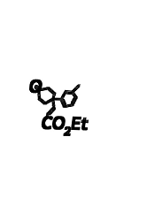 CCOC(=O)C=CC1(c2cccc(C)c2)CCC(=O)CC1